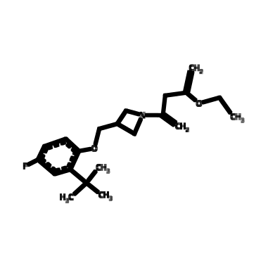 C=C(CC(=C)N1CC(COc2ccc(F)cc2C(C)(C)C)C1)OCC